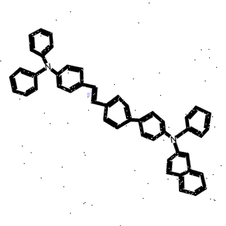 C(=C\c1ccc(N(c2ccccc2)c2ccccc2)cc1)/c1ccc(-c2ccc(N(c3ccccc3)c3ccc4ccccc4c3)cc2)cc1